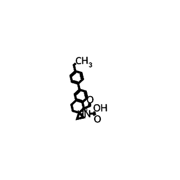 CCc1ccc(-c2ccc3c(c2)CCC2(CC2)[C@]3(C=O)NC(=O)O)cc1